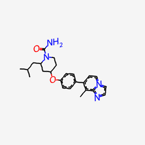 Cc1c(-c2ccc(OC3CCN(C(N)=O)C(CC(C)C)C3)cc2)ccn2ccnc12